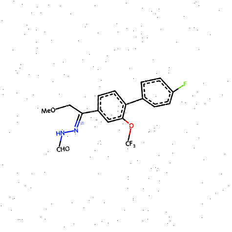 COC/C(=N\NC=O)c1ccc(-c2ccc(F)cc2)c(OC(F)(F)F)c1